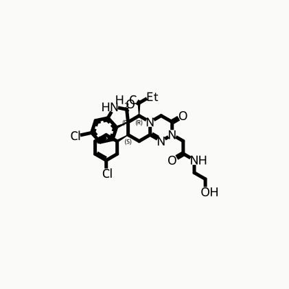 C=C(CC)[C@H]1N2CC(=O)N(CC(=O)NCCO)N=C2C[C@@H](C2C=CC=C(Cl)C2)[C@]12C(=O)Nc1cc(Cl)ccc12